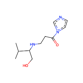 CC(C)C(CO)NCCC(=O)n1ccnc1